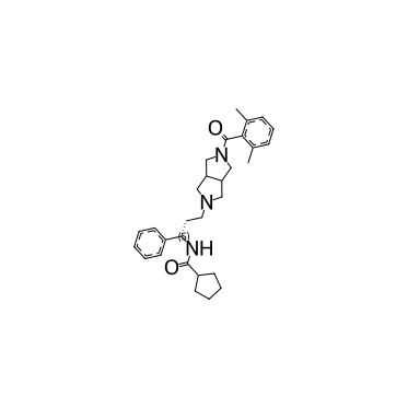 Cc1cccc(C)c1C(=O)N1CC2CN(CC[C@H](NC(=O)C3CCCC3)c3ccccc3)CC2C1